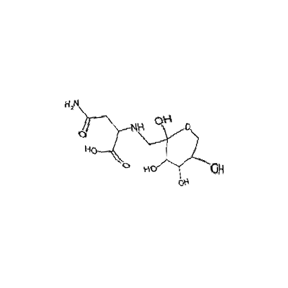 NC(=O)CC(NCC1(O)OCC(O)C(O)C1O)C(=O)O